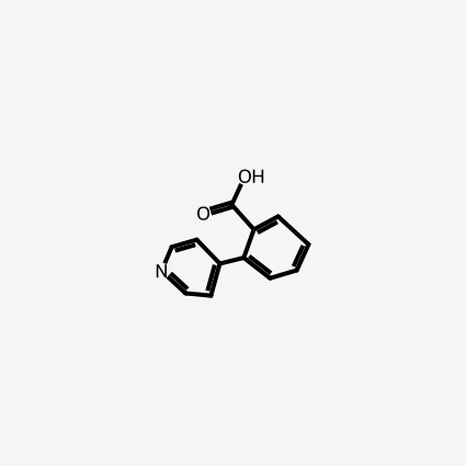 O=C(O)c1ccccc1-c1ccncc1